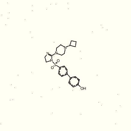 O=S(=O)(c1ccc(-c2ccc(O)cc2)cc1)N1CCN=C1N1CCN(C2CCC2)CC1